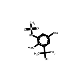 COc1c(NS(C)(=O)=O)cc(C(C)(C)C)cc1C(C)(C)S